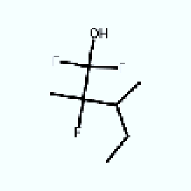 CCC(C)C(C)(F)C(O)(F)F